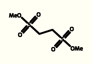 COS(=O)(=O)CCS(=O)(=O)OC